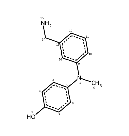 CN(c1ccc(O)cc1)c1cccc(CN)c1